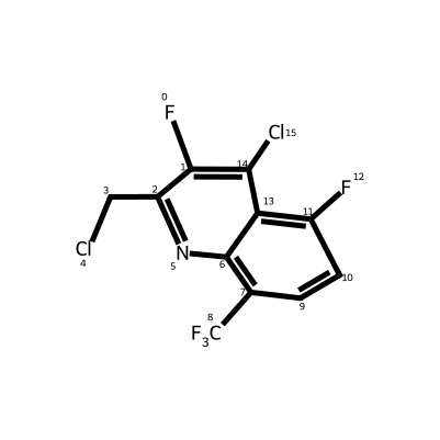 Fc1c(CCl)nc2c(C(F)(F)F)ccc(F)c2c1Cl